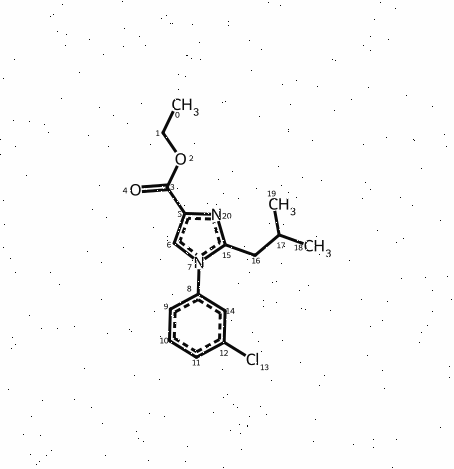 CCOC(=O)c1cn(-c2cccc(Cl)c2)c(CC(C)C)n1